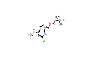 CNc1cc(Cl)nc2c1ccn2COCC[Si](C)(C)C